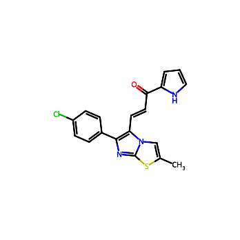 Cc1cn2c(/C=C/C(=O)c3ccc[nH]3)c(-c3ccc(Cl)cc3)nc2s1